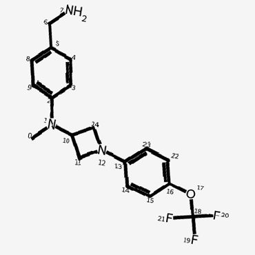 CN(c1ccc(CN)cc1)C1CN(c2ccc(OC(F)(F)F)cc2)C1